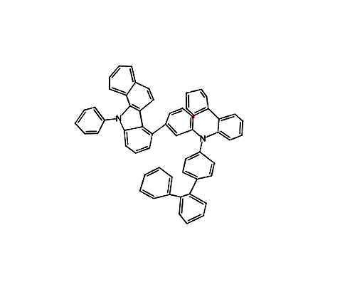 c1ccc(-c2ccccc2-c2ccc(N(c3cccc(-c4cccc5c4c4ccc6ccccc6c4n5-c4ccccc4)c3)c3ccccc3-c3ccccc3)cc2)cc1